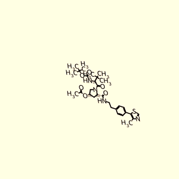 CC(=O)O[C@H]1C[C@@H](C(=O)NCCc2ccc(-c3scnc3C)cc2)N(C(=O)[C@@H](NC(=O)OC(C)(C)C)C(C)(C)C)C1